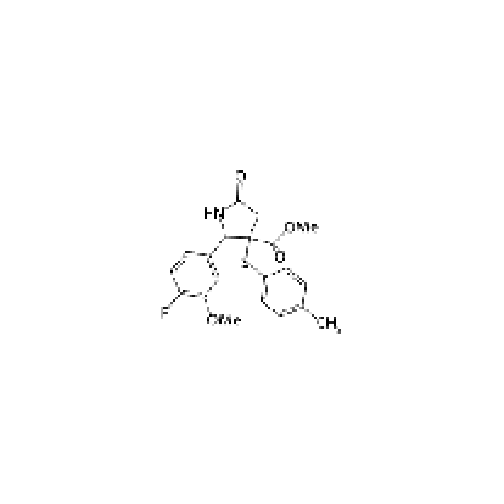 COC(=O)C1(Sc2ccc(C)cc2)CC(=O)NC1c1ccc(F)c(OC)c1